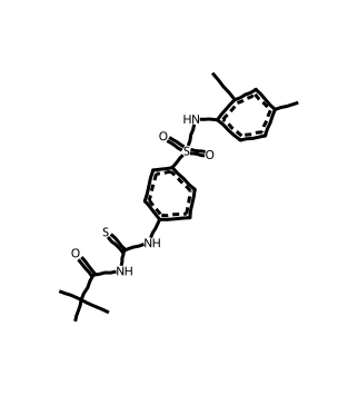 Cc1ccc(NS(=O)(=O)c2ccc(NC(=S)NC(=O)C(C)(C)C)cc2)c(C)c1